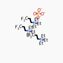 CC[N+](CC)(CC)CCC(F)(F)F.CC[N+](CC)(CC)CCC(F)(F)F.CC[N+](CC)(CC)CCC(F)(F)F.O=P([O-])([O-])[O-]